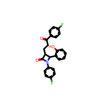 O=C(CCC1C(=O)N(c2ccc(F)cc2)C1c1ccccc1O)c1ccc(F)cc1